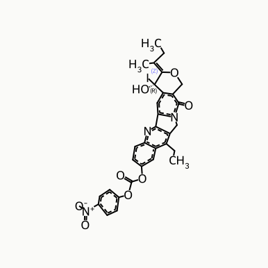 CC/C(C)=C1\OCc2c(cc3n(c2=O)Cc2c-3nc3ccc(OC(=O)Oc4ccc([N+](=O)[O-])cc4)cc3c2CC)[C@@]1(O)I